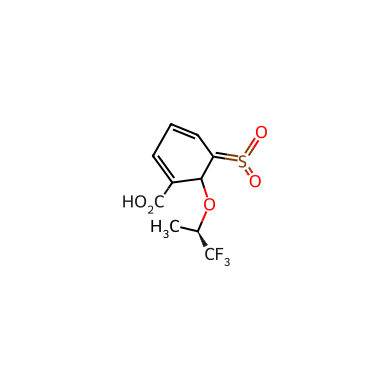 C[C@@H](OC1C(C(=O)O)=CC=CC1=S(=O)=O)C(F)(F)F